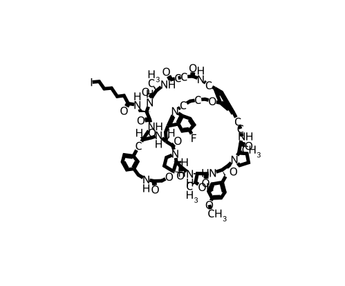 COc1ccc(C[C@@H]2NC(=O)[C@H]([C@@H](C)O)NC(=O)[C@@H]3[C@@H]4CCN3C(=O)[C@@H]3Cc5cn(c6ccc(F)cc56)CCCCOc5cc(cc(c5)CNC(=O)CCC(=O)N[C@@H](C)C(=O)N[C@H](CNC(=O)CCCCCI)C(=O)N[C@@H](Cc5cccc(c5)CNC(=O)CO4)C(=O)N3)CCNC(=O)[C@]3(C)CCCN3C2=O)cc1